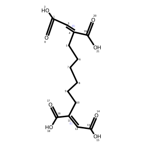 O=C(O)/C=C(\CCCCCC/C(=C\C(=O)O)C(=O)O)C(=O)O